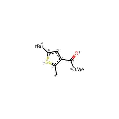 COC(=O)c1cc(C(C)(C)C)sc1C